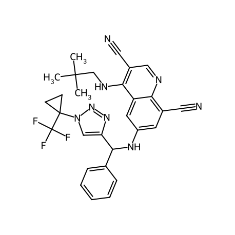 CC(C)(C)CNc1c(C#N)cnc2c(C#N)cc(NC(c3ccccc3)c3cn(C4(C(F)(F)F)CC4)nn3)cc12